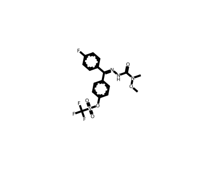 CON(C)C(=O)NN=C(c1ccc(F)cc1)c1ccc(OS(=O)(=O)C(F)(F)F)cc1